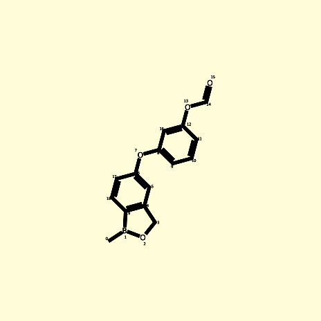 CB1OCc2cc(Oc3cccc(OC=O)c3)ccc21